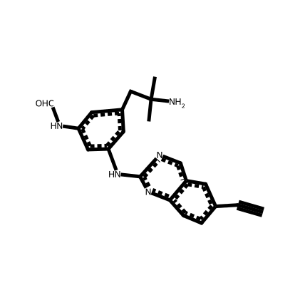 C#Cc1ccc2nc(Nc3cc(CC(C)(C)N)cc(NC=O)c3)ncc2c1